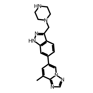 Cc1cc(-c2ccc3c(CN4CCNCC4)n[nH]c3c2)cn2ncnc12